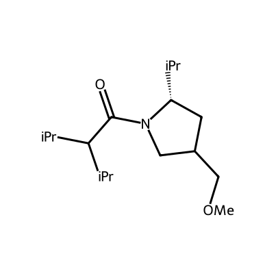 COCC1C[C@@H](C(C)C)N(C(=O)C(C(C)C)C(C)C)C1